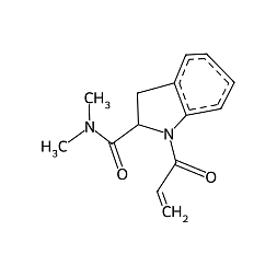 C=CC(=O)N1c2ccccc2CC1C(=O)N(C)C